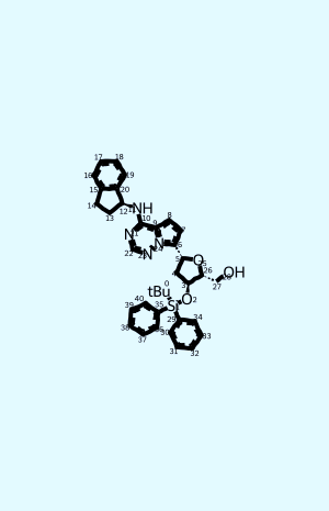 CC(C)(C)[Si](O[C@H]1C[C@H](c2ccc3c(N[C@H]4CCc5ccccc54)ncnn23)O[C@@H]1CO)(c1ccccc1)c1ccccc1